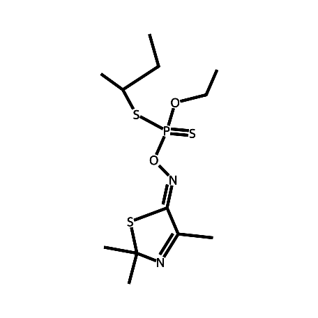 CCOP(=S)(ON=C1SC(C)(C)N=C1C)SC(C)CC